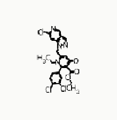 CCOC(=O)c1c(-c2ccc(Cl)c(Cl)c2)n(CC)c(Cn2ncc3cnc(Cl)cc32)cc1=O